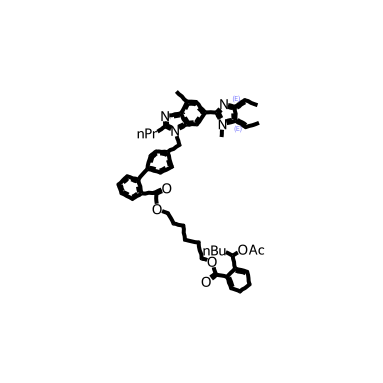 C/C=c1/nc(-c2cc(C)c3nc(CCC)n(Cc4ccc(-c5ccccc5C(=O)OCCCCCCOC(=O)C5=CCCC=C5C(CCCC)OC(C)=O)cc4)c3c2)n(C)/c1=C/C